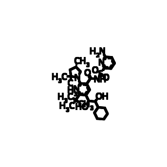 C[C@@H]1CN(c2nc(C(C)(C)C)c(C(O)C(O)C3CCCCC3)cc2C(=O)NS(=O)(=O)c2cccc(N)n2)C(C)(C)C1